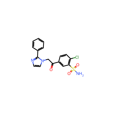 NS(=O)(=O)c1cc(C(=O)Cn2ccnc2-c2ccccc2)ccc1Cl